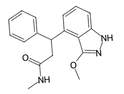 CNC(=O)CC(c1ccccc1)c1cccc2[nH]nc(OC)c12